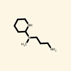 CN(CCCN)C1CCCCN1